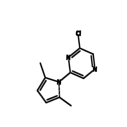 Cc1ccc(C)n1-c1cncc(Cl)n1